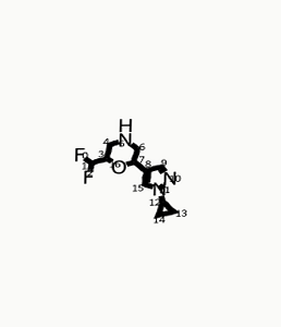 FC(F)C1CNCC(c2cnn(C3CC3)c2)O1